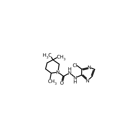 CC1CCC(C)(C)CN1C(=O)NNc1nccnc1Cl